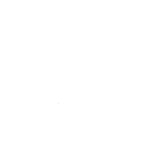 CCCCCC(CC(O)CO)(CC(O)CO)C(=O)O